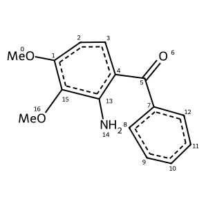 COc1ccc(C(=O)c2ccccc2)c(N)c1OC